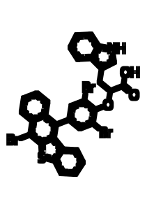 O=C(O)C(Cc1c[nH]c2ccccc12)Oc1c(Br)cc(-c2c3ccccc3c(Br)c3sc4ccccc4c23)cc1Br